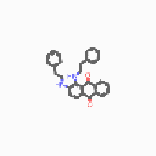 O=C1c2ccccc2C(=O)c2c1ccc(NCCc1ccccc1)c2NCCc1ccccc1